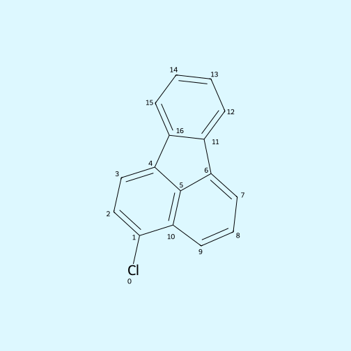 Clc1ccc2c3c(cccc13)-c1ccccc1-2